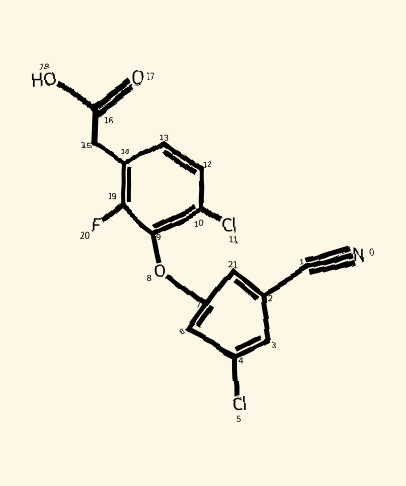 N#Cc1cc(Cl)cc(Oc2c(Cl)ccc(CC(=O)O)c2F)c1